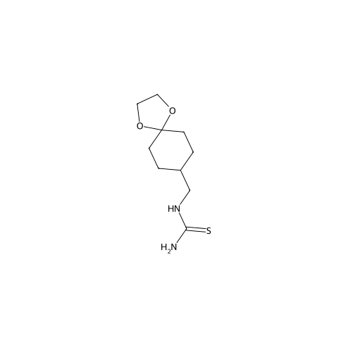 NC(=S)NCC1CCC2(CC1)OCCO2